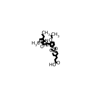 CCCOc1ccc(S(=O)(=O)N2CCC(CCC(=O)O)CC2)cc1-c1nc2c(CCC)cn(C)c2c(=O)[nH]1